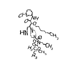 C=CCCCCO/C(C(=O)Nc1cccc(Cl)c1)=C(/C=N)N1CCN(S(=O)(=O)N(CC=C)C(=O)OC(C)(C)C)CC1